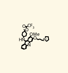 COc1cc2c(NC3CCC(C)(OC(=O)C(F)(F)F)CC3)c3ccccc3nc2cc1OCCCN1CCCC1